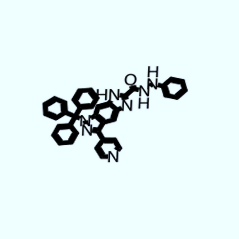 O=C(NNc1ccccc1)c1nc2cc3c(-c4ccncc4)nn(C(c4ccccc4)(c4ccccc4)c4ccccc4)c3cc2[nH]1